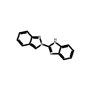 c1ccc2nn(-c3nc4ccccc4[nH]3)cc2c1